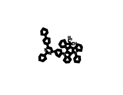 CC1(C)c2ccccc2-c2c1c1c3ccccc3n(-c3ccccc3)c1c1c3ccccc3n(-c3ccc(-c4cc(-c5ccc(-c6ccccc6)cc5)nc(-c5ccccc5)n4)cc3)c21